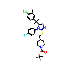 Cc1cc(C(C)(C)c2cnc(SCC3CCN(C(=O)OC(C)(C)C)CC3)n2-c2ccc(F)cc2)ccc1Cl